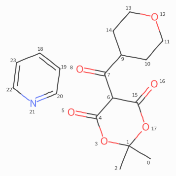 CC1(C)OC(=O)C(C(=O)C2CCOCC2)C(=O)O1.c1ccncc1